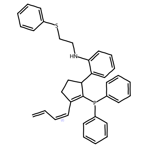 C=C/C=C\C1=C(P(c2ccccc2)c2ccccc2)C(c2ccccc2NCCSc2ccccc2)CC1